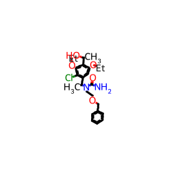 CCOc1cc(C(C)N(CCOCc2ccccc2)C(N)=O)c(Cl)c(OCC)c1C(C)O